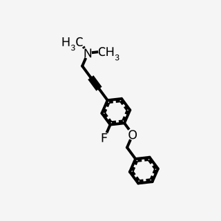 CN(C)CC#Cc1ccc(OCc2ccccc2)c(F)c1